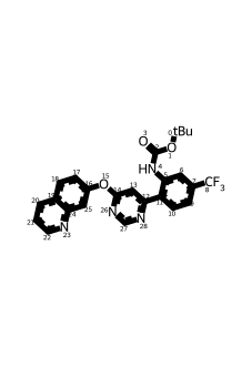 CC(C)(C)OC(=O)Nc1cc(C(F)(F)F)ccc1-c1cc(Oc2ccc3cccnc3c2)ncn1